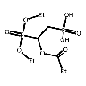 CCOP(=O)(OCC)C(CP(=O)(O)O)OC(=O)CC